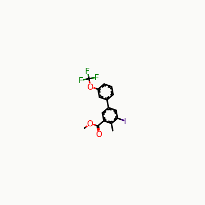 COC(=O)c1cc(-c2cccc(OC(F)(F)F)c2)cc(I)c1C